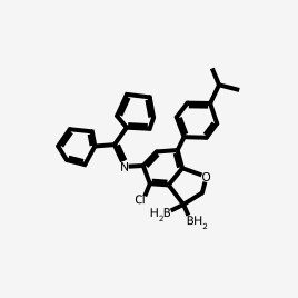 BC1(B)COc2c(-c3ccc(C(C)C)cc3)cc(N=C(c3ccccc3)c3ccccc3)c(Cl)c21